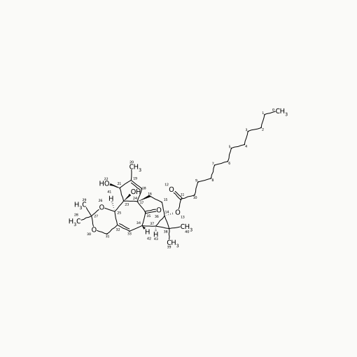 CCCCCCCCCCCC(=O)O[C@@]12CC[C@]34C=C(C)[C@H](O)[C@@]3(O)[C@@H]3OC(C)(C)OCC3=C[C@H](C4=O)[C@@H]1C2(C)C